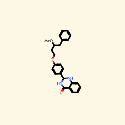 COC(CCOc1ccc(C2NC(=O)c3ccccc3N2)cc1)Cc1ccccc1